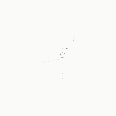 CCCCCCCCCC1(CCCCCCCCC)C=CC(NC(=O)CCCC(=O)OCC)=CC1